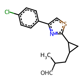 CC(C=O)CC1CC1c1nc(-c2ccc(Cl)cc2)cs1